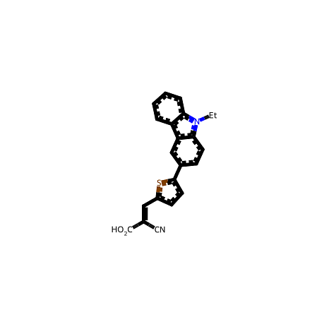 CCn1c2ccccc2c2cc(-c3ccc(/C=C(\C#N)C(=O)O)s3)ccc21